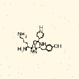 NCCCC[C@H](N)c1nnc([C@H](Cc2ccc(O)cc2)NC(=O)C2CCNCC2)o1